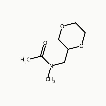 CC(=O)N(C)CC1COCCO1